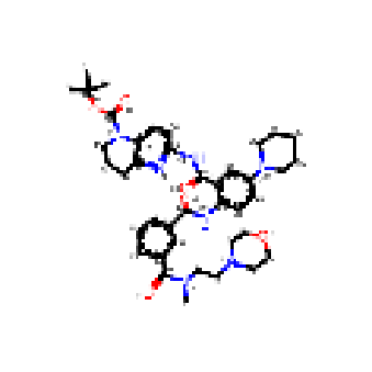 CN(CCN1CCOCC1)C(=O)c1cccc(C(=O)Nc2ccc(N3CCCCC3)cc2C(=O)Nc2ccc3c(n2)CCCN3C(=O)OC(C)(C)C)c1